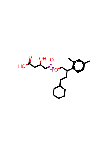 Cc1ccc(C(CCC2CCCCC2)CO[PH](=O)CC(O)CC(=O)O)c(C)c1